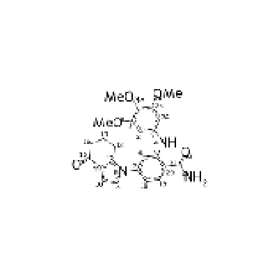 COc1cc(Nc2cc(-n3ccc4c3CCCC4=O)ccc2C(N)=O)cc(OC)c1OC